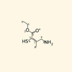 CCOC(=O)C(S)=C(C)CN